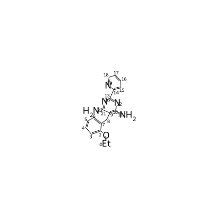 CCOc1ccccc1Cc1c(N)nc(-c2ccccn2)nc1N